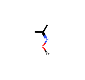 C[CH]ON=C(C)C